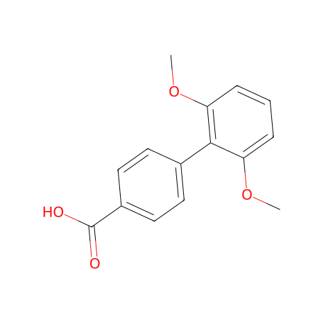 COc1cccc(OC)c1-c1ccc(C(=O)O)cc1